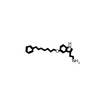 NCCc1c[nH]c2ccc(OCCCCCCCc3ccccc3)cc12